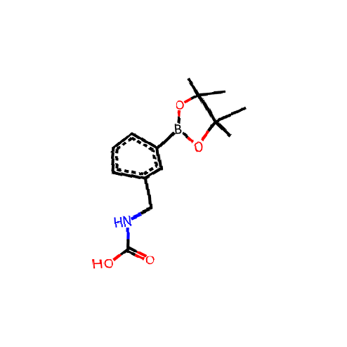 CC1(C)OB(c2cccc(CNC(=O)O)c2)OC1(C)C